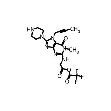 CC#CCn1c(N2CCNCC2)nc2nc(NCC(=O)OC(=O)C(F)(F)F)n(C)c(=O)c21